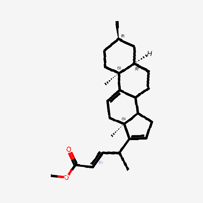 COC(=O)/C=C/C(C)C1=CCC2C3CC[C@@H]4C[C@H](C)CC[C@]4(C)C3=CC[C@]12C